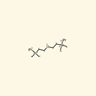 CC(C)[N+](C)(C)CCOCC[N+](C)(C)C(C)C